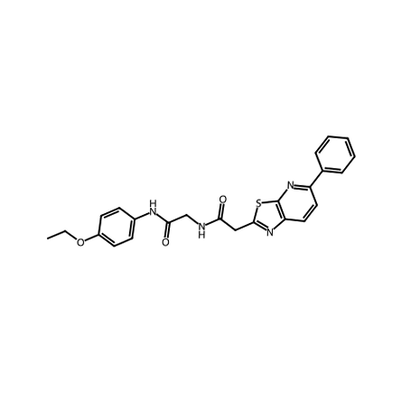 CCOc1ccc(NC(=O)CNC(=O)Cc2nc3ccc(-c4ccccc4)nc3s2)cc1